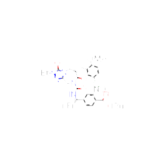 CCC[C@@H](NC(=O)N1Cc2nn(CC)c(=O)n2C[C@H](Cc2cc(Cl)ccc2OC)C1=O)c1ccc(C(=O)OC(C)(C)C)c([N+](=O)[O-])c1